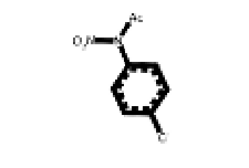 CC(=O)N(c1[c]cc(Cl)cc1)[N+](=O)[O-]